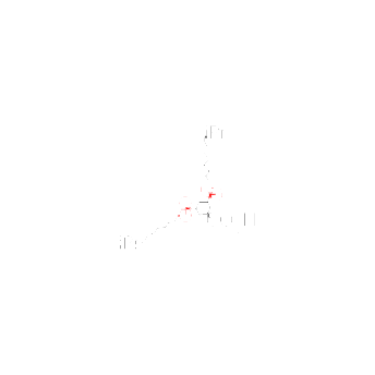 CC(C)CCCCCCCCOC(=O)C1CC(C(=O)O)CC(C(=O)OCCCCCCCCC(C)C)C1